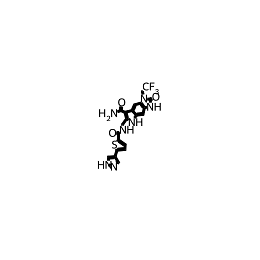 NC(=O)c1c(CNC(=O)c2ccc(-c3cn[nH]c3)s2)[nH]c2cc3[nH]c(=O)n(CC(F)(F)F)c3cc12